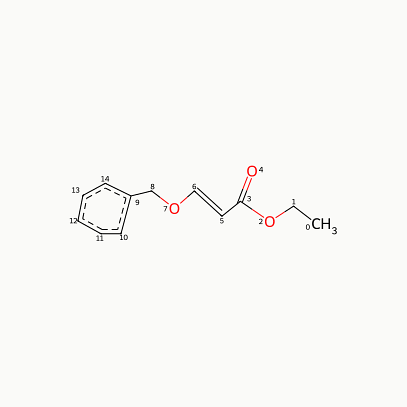 CCOC(=O)C=COCc1ccccc1